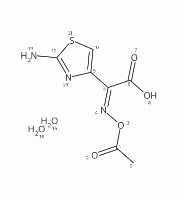 CC(=O)O/N=C(\C(=O)O)c1csc(N)n1.O.O